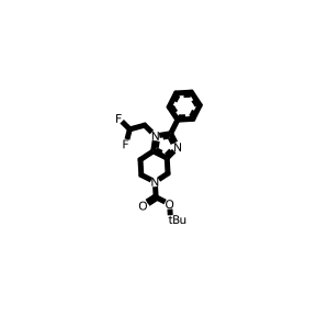 CC(C)(C)OC(=O)N1CCc2c(nc(-c3ccccc3)n2CC(F)F)C1